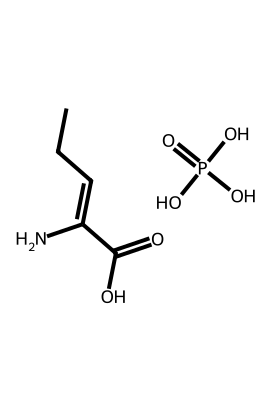 CC/C=C(\N)C(=O)O.O=P(O)(O)O